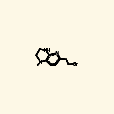 CN1CCNc2nc(CCBr)ccc21